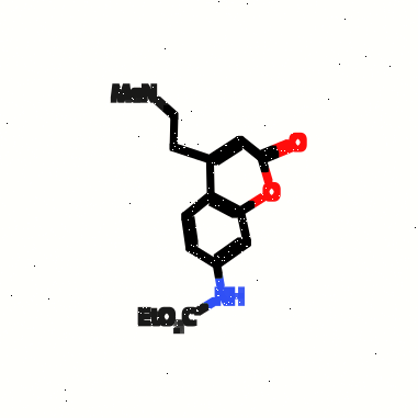 CCOC(=O)Nc1ccc2c(CCNC)cc(=O)oc2c1